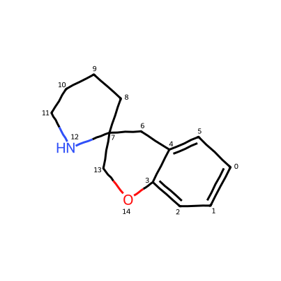 c1ccc2c(c1)CC1(CCCCN1)CO2